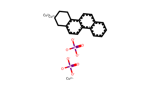 O=P([O-])([O-])[O-].O=P([O-])([O-])[O-].[Cu+2].[Cu+2].[Cu+2].c1ccc2c(c1)ccc1c3c(ccc12)CCCC3